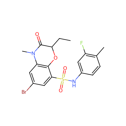 CCC1Oc2c(cc(Br)cc2S(=O)(=O)Nc2ccc(C)c(F)c2)N(C)C1=O